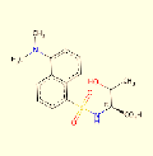 CC(O)[C@H](NS(=O)(=O)c1cccc2c(N(C)C)cccc12)C(=O)O